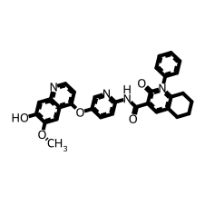 COc1cc2c(Oc3ccc(NC(=O)c4cc5c(n(-c6ccccc6)c4=O)CCCC5)nc3)ccnc2cc1O